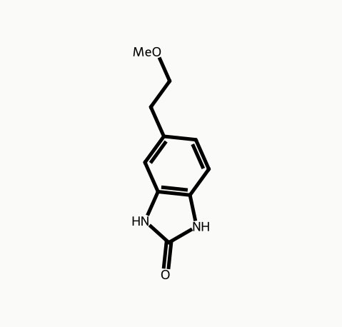 COCCc1ccc2[nH]c(=O)[nH]c2c1